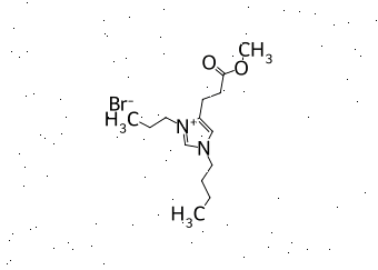 CCCCn1cc(CCC(=O)OC)[n+](CCC)c1.[Br-]